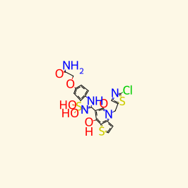 NC(=O)COc1ccc2c(c1)S(O)(O)N=C(c1c(O)c3sccc3n(Cc3cnc(Cl)s3)c1=O)N2